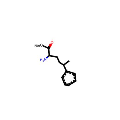 COC(=O)C(N)CCC(C)c1ccccc1